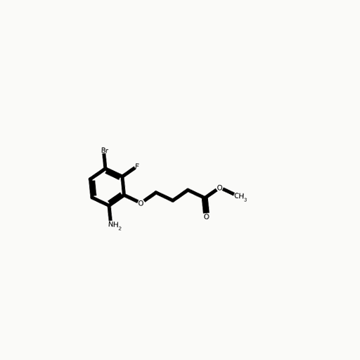 COC(=O)CCCOc1c(N)ccc(Br)c1F